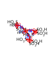 CCCCOc1c(OCCCS(=O)(=O)O)cc(C(=O)NCCCn2cc(CCCCOc3cc(C(=O)NCCC)cc(OCCCCc4cn(CCCNC(=O)c5cc(OCCCS(=O)(=O)O)c(OCCCS(=O)(=O)O)c(OCCCS(=O)(=O)O)c5)nn4)c3OCCCCc3cn(CCCNC(=O)c4cc(OCCCS(=O)(=O)O)c(OCCCS(=O)(=O)O)c(OCCCS(=O)(=O)O)c4)nn3)nn2)cc1OCCCS(=O)(=O)O